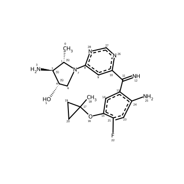 C[C@H]1[C@H](N)[C@@H](O)CN1c1cc(C(=N)c2cc(OC3(C)CC3)c(F)cc2N)ncn1